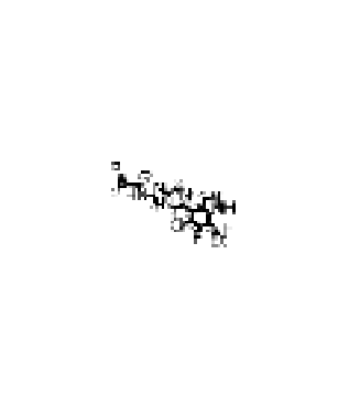 CCNc1c(F)c(Cl)c(-c2cn3cc(NC(=O)C4CC4F)nc3cn2)c2cn[nH]c12